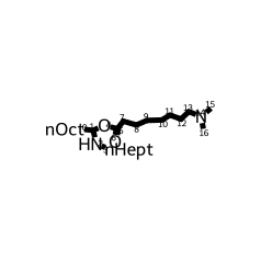 CCCCCCCCC(NCCCCCCC)OC(=O)CCCCCCCN(C)C